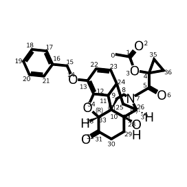 CC(=O)OC1(C(=O)N2CC[C@@]34C5C6=C(OCc7ccccc7)C=CC5C[C@@H]2[C@]3(O)CCC(=O)[C@@H]4O6)CC1